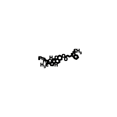 CC(C)CCCC(C)C1CCC2[C@@H]3CC=C4C[C@@H](OC(=O)CCc5cn(C)c6ccccc56)CC[C@]4(C)C3CC[C@]12C